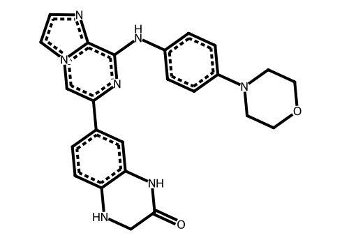 O=C1CNc2ccc(-c3cn4ccnc4c(Nc4ccc(N5CCOCC5)cc4)n3)cc2N1